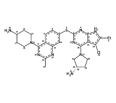 CCc1[nH]c2nc(Sc3ccc4c(N5CCC(N)CC5)nc(C)nc4c3)nc(N3CC[C@H](N)C3)c2c1Cl